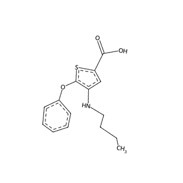 CCCCNc1cc(C(=O)O)sc1Oc1ccccc1